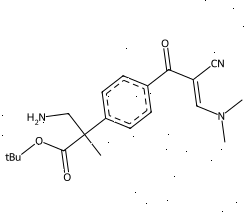 CN(C)C=C(C#N)C(=O)c1ccc(C(C)(CN)C(=O)OC(C)(C)C)cc1